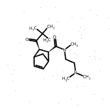 CN(C)CCN(C)C(=O)[C@H]1C2C=CC(C2)[C@H]1C(=O)C(C)(C)C